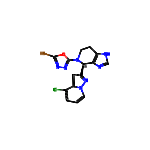 Sc1nnc(N2CCc3[nH]cnc3[C@H]2c2cc3c(Cl)cccn3n2)o1